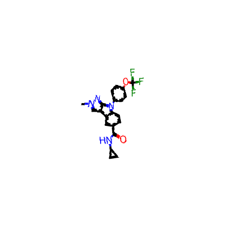 Cn1cc2c3cc(C(=O)NC4CC4)ccc3n(-c3ccc(OC(F)(F)F)cc3)c2n1